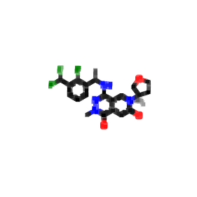 CC(Nc1nn(C)c(=O)c2cc(=O)n([C@]3(C)CCOC3)cc12)c1cccc(C(F)F)c1F